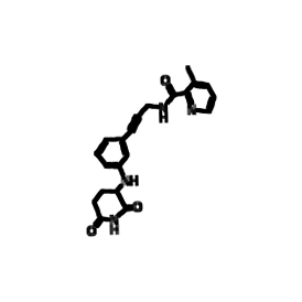 Cc1cccnc1C(=O)NCC#Cc1cccc(NC2CCC(=O)NC2=O)c1